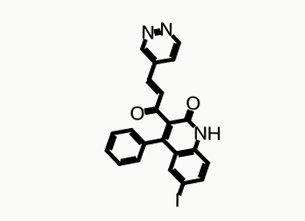 O=C(/C=C/c1ccnnc1)c1c(-c2ccccc2)c2cc(I)ccc2[nH]c1=O